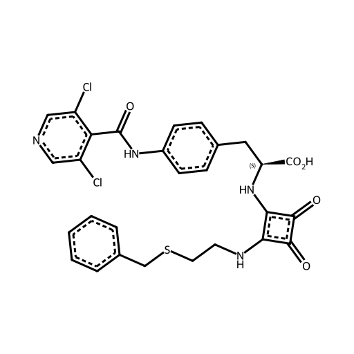 O=C(Nc1ccc(C[C@H](Nc2c(NCCSCc3ccccc3)c(=O)c2=O)C(=O)O)cc1)c1c(Cl)cncc1Cl